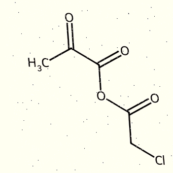 CC(=O)C(=O)OC(=O)CCl